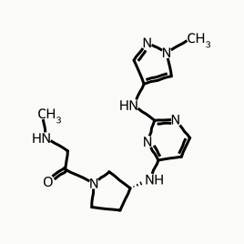 CNCC(=O)N1CC[C@@H](Nc2ccnc(Nc3cnn(C)c3)n2)C1